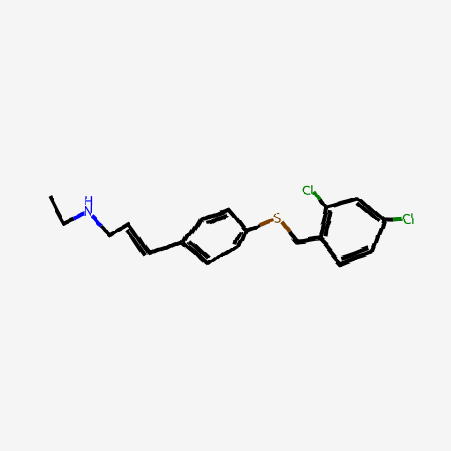 CCNCC=Cc1ccc(SCc2ccc(Cl)cc2Cl)cc1